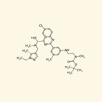 CCn1ncc(CN(C)C(O)c2nc(-c3cc(C)cc(NCCN(C)C(=O)OC(C)(C)C)c3)nc3ccc(Cl)cc23)c1C